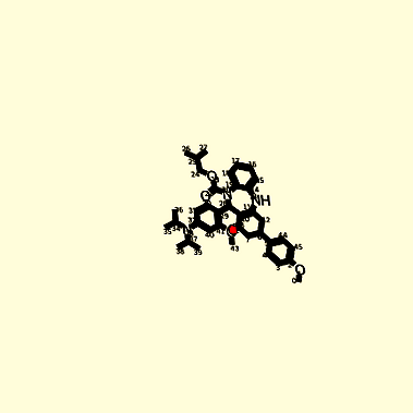 COc1ccc(C2CC(=O)C3=C(C2)Nc2ccccc2N(C(=O)OCC(C)C)C3c2ccc(N(C(C)C)C(C)C)cc2OC)cc1